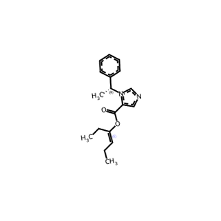 CC/C=C(\CC)OC(=O)c1cncn1[C@H](C)c1ccccc1